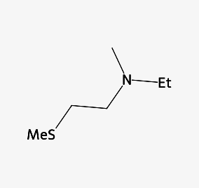 CCN(C)CCSC